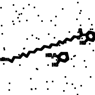 CCCCCCCCCCCCCCCCCCCCCCCCCCCCOC(=O)c1ccccc1O.O=C(O)c1ccccc1O